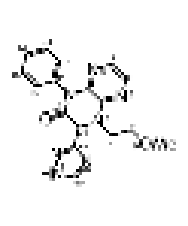 COCCN1c2nccnc2N(c2ccccc2)C(=O)C1c1nc[nH]n1